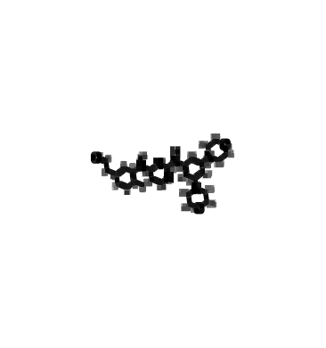 Cc1ccc(CC=O)cc1N(C)c1ccnc(Nc2cc(N3CCOCC3)cc(N3CCOCC3)c2)n1